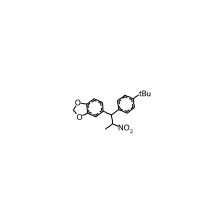 CC(C(c1ccc(C(C)(C)C)cc1)c1ccc2c(c1)OCO2)[N+](=O)[O-]